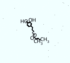 CCC=C(C)C(=O)OSCCCc1ccc(O)c(O)c1